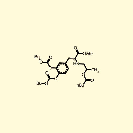 CCCCC(=O)OC(C)CN[C@@H](Cc1ccc(OC(=O)OC(C)CC)c(OC(=O)OC(C)CC)c1)C(=O)OC